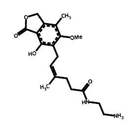 COc1c(C)c2c(c(O)c1CC=C(C)CCC(=O)NCCN)C(=O)OC2